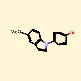 COc1ccc2c(ccn2-c2ccc(Br)cc2)c1